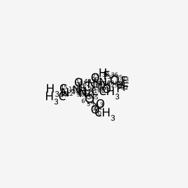 COC(=O)c1ccc(N2CN(CCN(C)C)C(=O)C23CCN(C(=O)[C@H](NC(=O)c2cc(C(F)(F)F)ccc2F)C(C)C)CC3)cc1